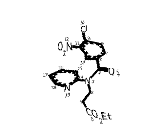 CCOC(=O)CCN(C(=O)c1ccc(Cl)c([N+](=O)[O-])c1)c1ccccn1